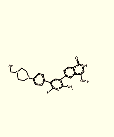 COc1c[nH]c(=O)c2ccc(-c3cc(-c4ccc(N5CCN(CC(C)=O)CC5)cc4)c(F)nc3N)cc12